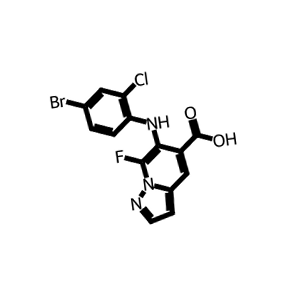 O=C(O)c1cc2ccnn2c(F)c1Nc1ccc(Br)cc1Cl